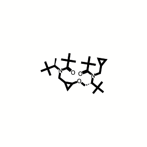 C[C@@H](N(CC1CC1OC[C@H](N(CC1CC1)C(=O)C(C)(C)C)C(C)(C)C)C(=O)C(C)(C)C)C(C)(C)C